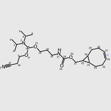 CC(C)N(C(C)C)P(OCCC#N)OCCCNC(=O)OCC1C2CC/C=C\CCC21